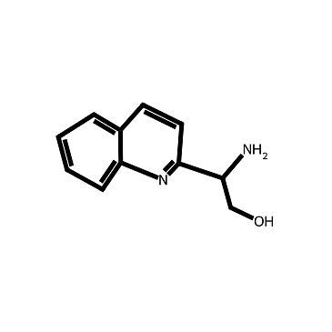 NC(CO)c1ccc2ccccc2n1